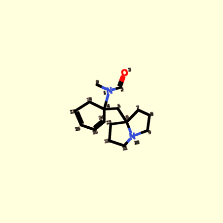 CN(C=O)C1(CC23CCCN2CCC3)C=CC=CC1